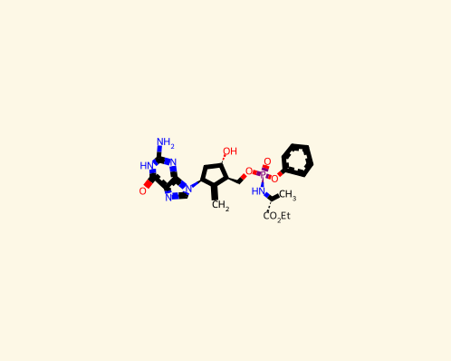 C=C1[C@H](CO[P@@](=O)(N[C@H](C)C(=O)OCC)Oc2ccccc2)[C@@H](O)C[C@@H]1n1cnc2c(=O)[nH]c(N)nc21